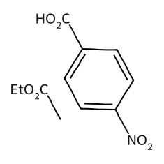 CCOC(C)=O.O=C(O)c1ccc([N+](=O)[O-])cc1